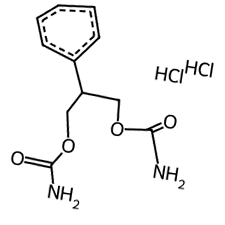 Cl.Cl.NC(=O)OCC(COC(N)=O)c1ccccc1